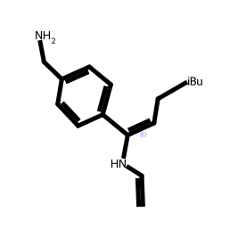 C=CN/C(=C/CC(C)CC)c1ccc(CN)cc1